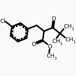 COC(=O)C(Cc1cccc(Cl)c1)C(=O)C(C)(C)C